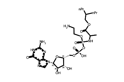 CCCC(CCC)COC(=O)C(C)NP(=O)(OCCN)OP(=O)(O)OC[C@H]1O[C@@H](n2cnc3c(=O)[nH]c(N)nc32)[C@H](O)[C@H]1O